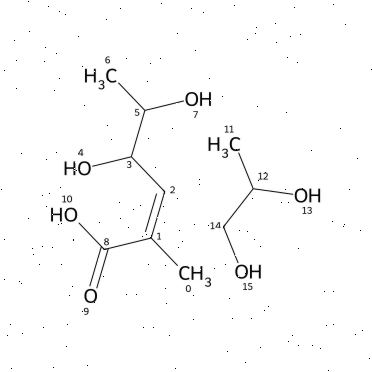 CC(=CC(O)C(C)O)C(=O)O.CC(O)CO